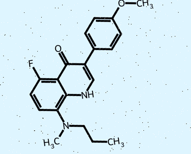 CCCN(C)c1ccc(F)c2c(=O)c(-c3ccc(OC)cc3)c[nH]c12